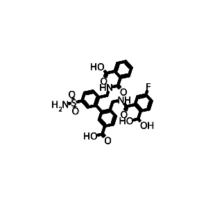 NS(=O)(=O)c1ccc(CNC(=O)c2ccccc2C(=O)O)c(-c2cc(C(=O)O)ccc2CNC(=O)c2cc(F)ccc2C(O)O)c1